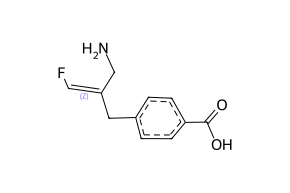 NC/C(=C\F)Cc1ccc(C(=O)O)cc1